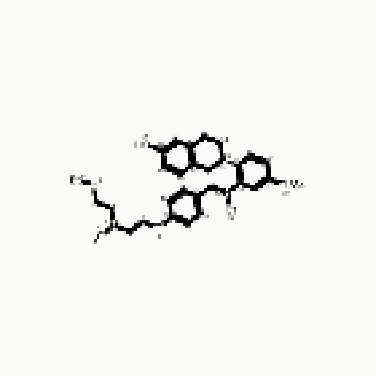 CCOCCN(C)CCOc1ccc(CN(CC)c2cc(OC)ccc2[C@@H]2CCc3cc(O)ccc3C2)cc1